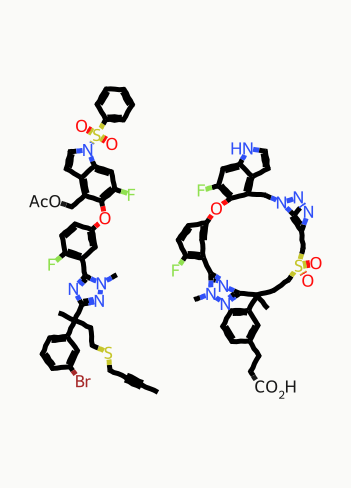 CC#CCSCCC(C)(c1cccc(Br)c1)c1nc(-c2cc(Oc3c(F)cc4c(ccn4S(=O)(=O)c4ccccc4)c3COC(C)=O)ccc2F)n(C)n1.Cc1c2nnn1Cc1c(c(F)cc3[nH]ccc13)Oc1ccc(F)c(c1)-c1nc(nn1C)C(C)(c1cccc(CCC(=O)O)c1)CCS(=O)(=O)C2